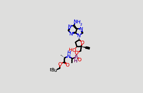 C#C[C@]1(CO[PH](=O)C(C)N[C@@H](C)C(=O)OCC(C)(C)C)O[C@@H](n2cnc3c(N)ncnc32)C[C@@H]1O